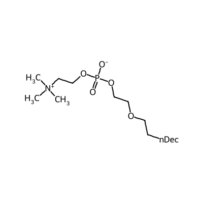 CCCCCCCCCCCCOCCOP(=O)([O-])OCC[N+](C)(C)C